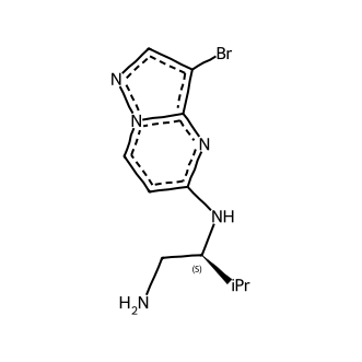 CC(C)[C@@H](CN)Nc1ccn2ncc(Br)c2n1